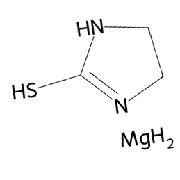 SC1=NCCN1.[MgH2]